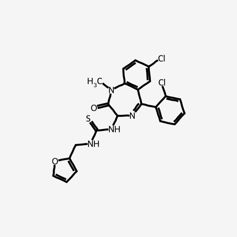 CN1C(=O)C(NC(=S)NCc2ccco2)N=C(c2ccccc2Cl)c2cc(Cl)ccc21